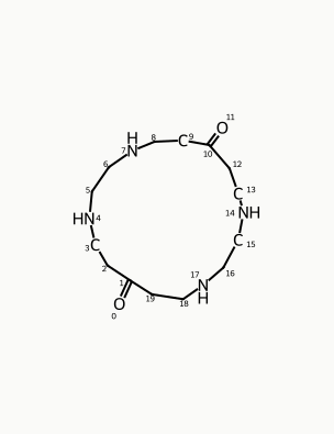 O=C1CCNCCNCCC(=O)CCNCCNCC1